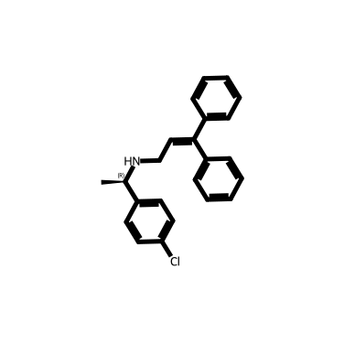 C[C@@H](NCC=C(c1ccccc1)c1ccccc1)c1ccc(Cl)cc1